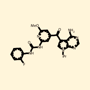 COc1cc(C(=O)c2cn(C(C)C)c3ncnc(N)c23)cc(NC(=O)Nc2ccccc2F)n1